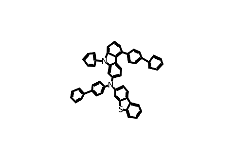 c1ccc(-c2ccc(-c3cccc4c3c3ccc(N(c5ccc(-c6ccccc6)cc5)c5ccc6c(c5)sc5ccccc56)cc3n4-c3ccccc3)cc2)cc1